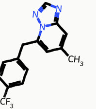 Cc1cc(Cc2ccc(C(F)(F)F)cc2)n2ncnc2c1